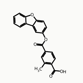 Cc1cc(C(=O)Oc2ccc3oc4ccccc4c3c2)ccc1C(=O)O